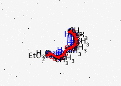 CCOC(=O)c1nc(NC(=O)CCNC(=O)c2cc(NC(=O)c3nc(NC(=O)CCCNC(=O)c4cc(NC(=O)c5nc(NC(=O)c6cc(NC(=O)c7cc(NC(=O)c8nccn8C)cn7C)cn6C)cn5C)cn4C)cn3C)cn2C)cn1C